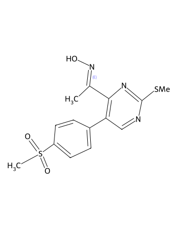 CSc1ncc(-c2ccc(S(C)(=O)=O)cc2)c(/C(C)=N/O)n1